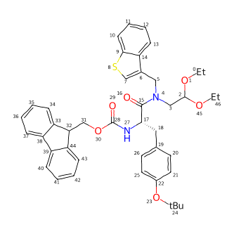 CCOC(CN(Cc1csc2ccccc12)C(=O)[C@H](Cc1ccc(OC(C)(C)C)cc1)NC(=O)OCC1c2ccccc2-c2ccccc21)OCC